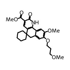 COCCCOc1cc2c(cc1OC)-c1[nH]c(=O)c(C(=O)OC)cc1C1(CCCCC1)C2